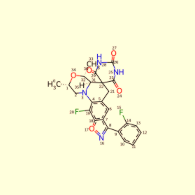 C[C@H]1CN2c3c(cc4c(-c5ccccc5F)noc4c3F)CC3(C(=O)NC(=O)NC3=O)[C@@H]2[C@@H](C)O1